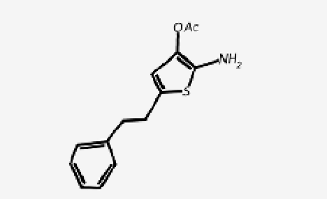 CC(=O)Oc1cc(CCc2ccccc2)sc1N